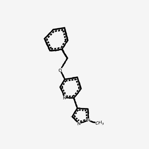 Cn1cc(-c2ccc(OCc3ccccc3)cn2)[c]n1